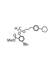 CCC(C)c1ccc(OC(C)OCCCc2ccc(C3CCCCC3)cc2)c(C(=O)OC)c1